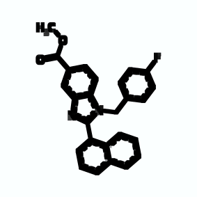 COC(=O)c1ccc2c(c1)nc(-c1cccc3ccccc13)n2Cc1ccc(F)cc1